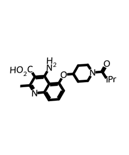 Cc1nc2cccc(OC3CCN(C(=O)C(C)C)CC3)c2c(N)c1C(=O)O